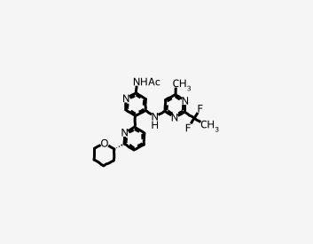 CC(=O)Nc1cc(Nc2cc(C)nc(C(C)(F)F)n2)c(-c2cccc([C@@H]3CCCCO3)n2)cn1